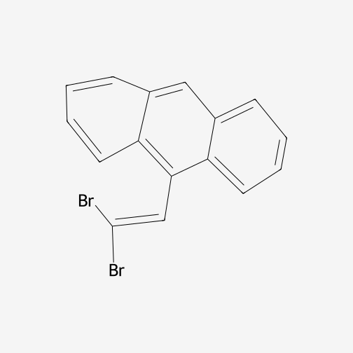 BrC(Br)=Cc1c2ccccc2cc2ccccc12